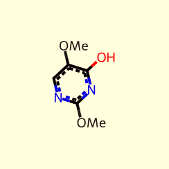 COc1ncc(OC)c(O)n1